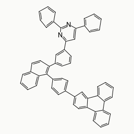 c1ccc(-c2cc(-c3cccc(-c4ccc5ccccc5c4-c4ccc(-c5ccc6c7ccccc7c7ccccc7c6c5)cc4)c3)nc(-c3ccccc3)n2)cc1